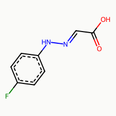 O=C(O)C=NNc1ccc(F)cc1